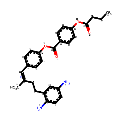 Nc1ccc(N)c(CC/C(=C\c2ccc(OC(=O)c3ccc(OC(=O)CCC(F)(F)F)cc3)cc2)C(=O)O)c1